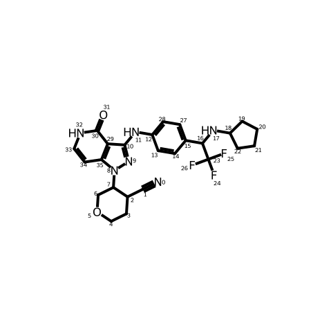 N#CC1CCOCC1n1nc(Nc2ccc(C(NC3CCCC3)C(F)(F)F)cc2)c2c(=O)[nH]ccc21